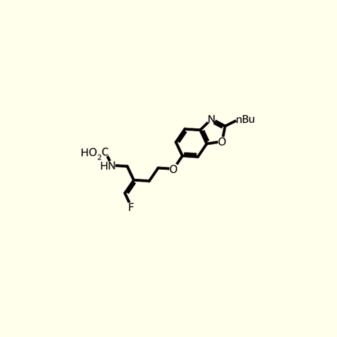 CCCCc1nc2ccc(OCC/C(=C\F)CNC(=O)O)cc2o1